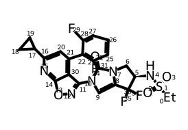 CCS(=O)(=O)N[C@@H]1Cn2c(cn(-c3noc4nc(C5CC5)cc(-c5c(F)cccc5F)c34)c2=O)C1(F)F